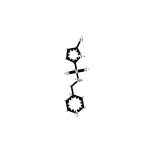 CCc1ccc(S(=O)(=O)NCc2ccncc2)s1